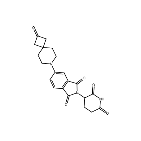 O=C1CC2(CCN(c3ccc4c(c3)C(=O)N(C3CCC(=O)NC3=O)C4=O)CC2)C1